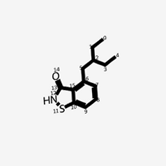 CCC(CC)Cc1cccc2s[nH]c(=O)c12